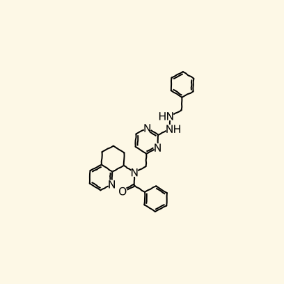 O=C(c1ccccc1)N(Cc1ccnc(NNCc2ccccc2)n1)C1CCCc2cccnc21